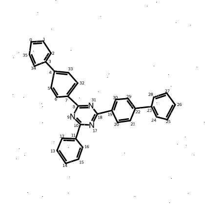 c1ccc(-c2ccc(-c3nc(-c4ccccc4)nc(-c4ccc(-c5ccccc5)cc4)n3)cc2)cc1